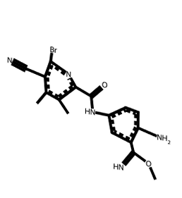 COC(=N)c1cc(NC(=O)c2nc(Br)c(C#N)c(C)c2C)ccc1N